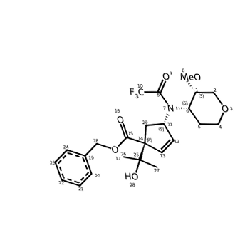 CO[C@@H]1COCC[C@@H]1N(C(=O)C(F)(F)F)[C@@H]1C=C[C@@](C(=O)OCc2ccccc2)(C(C)(C)O)C1